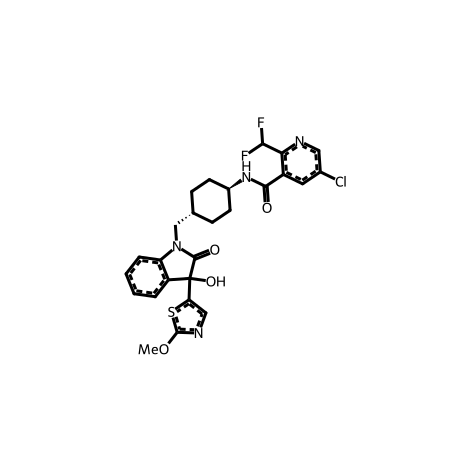 COc1ncc(C2(O)C(=O)N(C[C@H]3CC[C@H](NC(=O)c4cc(Cl)cnc4C(F)F)CC3)c3ccccc32)s1